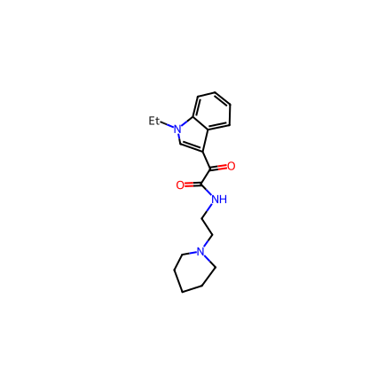 CCn1cc(C(=O)C(=O)NCCN2CCCCC2)c2ccccc21